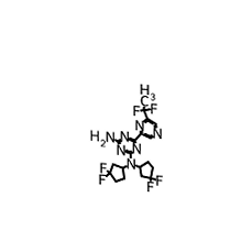 CC(F)(F)c1cncc(-c2nc(N)nc(N(C3CCC(F)(F)C3)C3CCC(F)(F)C3)n2)n1